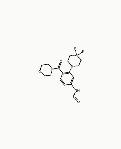 O=CNc1ccc(C(=O)N2CCOCC2)c(N2CCC(F)(F)CC2)c1